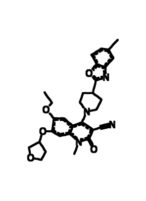 CCOc1cc2c(N3CCC(c4nc5cc(C)ccc5o4)CC3)c(C#N)c(=O)n(C)c2cc1OC1CCOC1